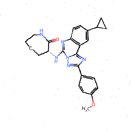 COc1ccc(-c2nc3c4cc(C5CC5)ccc4nc(N[C@@H]4CCCCNC4=O)n3n2)cc1